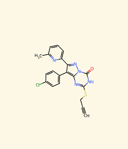 C#CCSc1nc2c(-c3ccc(Cl)cc3)c(-c3cccc(C)n3)nn2c(=O)[nH]1